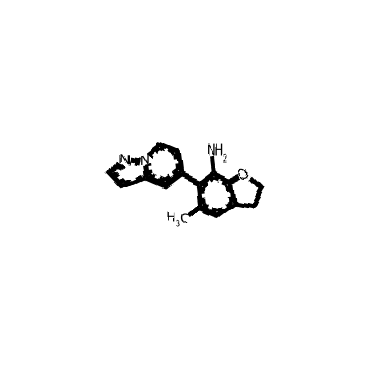 Cc1cc2c(c(N)c1-c1ccn3nccc3c1)OCC2